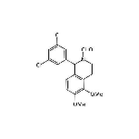 COc1ccc2c(c1OC)CCN(C=O)C2c1cc(Cl)cc(Cl)c1